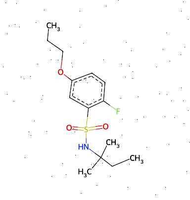 CCCOc1ccc(F)c(S(=O)(=O)NC(C)(C)CC)c1